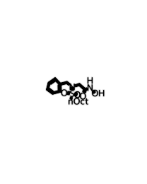 CCCCCCCCS(=O)(=O)N(CC(=O)NO)Cc1ccccc1